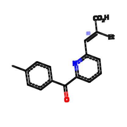 CC/C(=C\c1cccc(C(=O)c2ccc(C)cc2)n1)C(=O)O